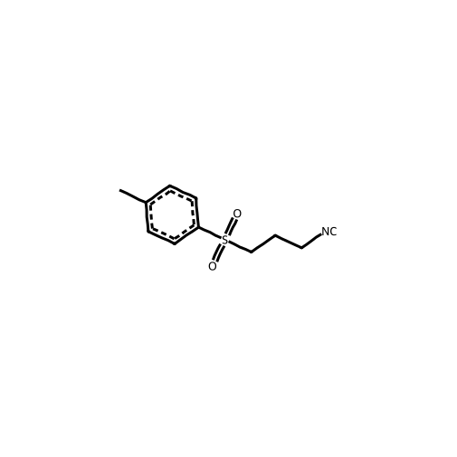 [C-]#[N+]CCCS(=O)(=O)c1ccc(C)cc1